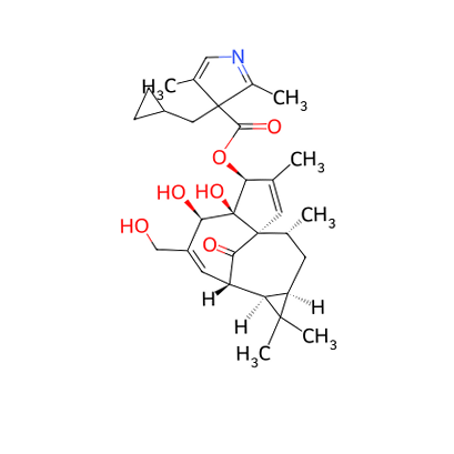 CC1=C[C@]23C(=O)[C@@H](C=C(CO)[C@@H](O)[C@]2(O)[C@H]1OC(=O)C1(CC2CC2)C(C)=CN=C1C)[C@H]1[C@@H](C[C@H]3C)C1(C)C